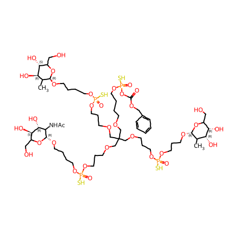 CC(=O)NC1[C@H](OCCCCOP(=O)(S)OCCCOCC(COCCCCOP(=O)(S)OC(=O)OCc2ccccc2)(COCCCOP(=O)(S)OCCCCO[C@@H]2OC(CO)[C@@H](O)[C@H](O)C2C)COCCCOP(=O)(S)OCCCO[C@@H]2OC(CO)[C@H](O)[C@H](O)C2C)OC(CO)[C@@H](O)[C@@H]1O